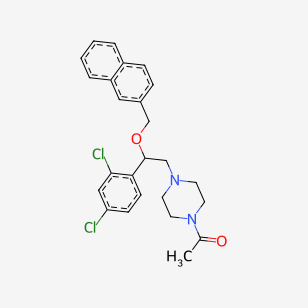 CC(=O)N1CCN(CC(OCc2ccc3ccccc3c2)c2ccc(Cl)cc2Cl)CC1